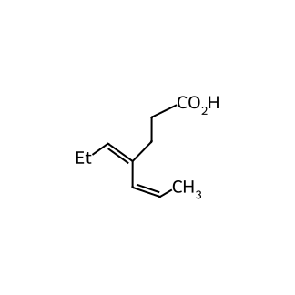 C/C=C\C(=C/CC)CCC(=O)O